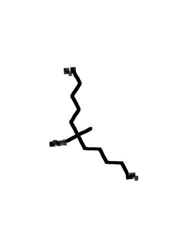 CCCCCC(C)(CCCCN)CCCCN